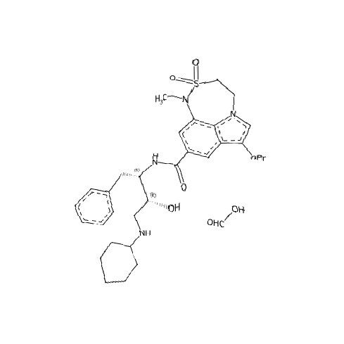 CCCc1cn2c3c(cc(C(=O)N[C@@H](Cc4ccccc4)[C@H](O)CNC4CCCCC4)cc13)N(C)S(=O)(=O)CC2.O=CO